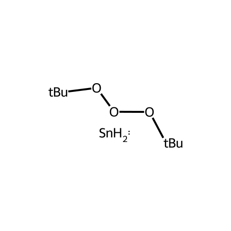 CC(C)(C)OOOC(C)(C)C.[SnH2]